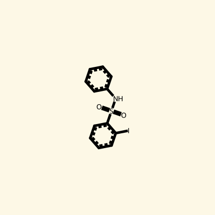 O=S(=O)(Nc1ccccc1)c1ccccc1I